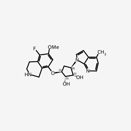 COc1cc(O[C@H]2C[C@@H](n3ccc4c(C)ccnc43)[C@H](O)[C@@H]2O)c2c(c1F)CCNC2